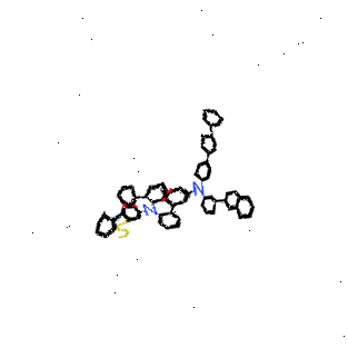 c1ccc(-c2ccc(-c3ccc(N(c4cccc(-c5ccc6ccccc6c5)c4)c4cccc(-c5ccccc5N(c5ccc6c(c5)sc5ccccc56)c5ccccc5-c5ccccc5)c4)cc3)cc2)cc1